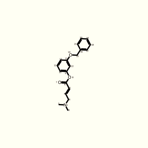 CN(C)CC=CC(=O)Oc1cccc(OCc2ccccc2)c1